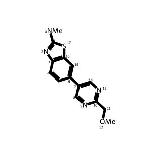 CNc1nc2ccc(-c3cnc(COC)nc3)cc2s1